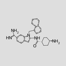 N=C(N)c1ccc2cc(NC(=O)[C@H]3CC[C@H](N)CC3)n(Cc3cccc4ccccc34)c2c1